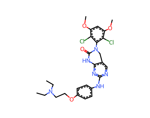 CCN(CC)CCOc1ccc(Nc2ncc3c(n2)NC(=O)N(c2c(Cl)c(OC)cc(OC)c2Cl)C3)cc1